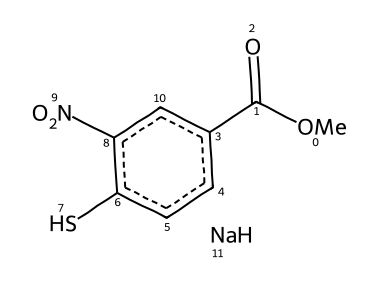 COC(=O)c1ccc(S)c([N+](=O)[O-])c1.[NaH]